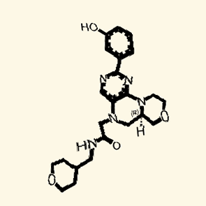 O=C(CN1C[C@@H]2COCCN2c2nc(-c3cccc(O)c3)ncc21)NCC1CCOCC1